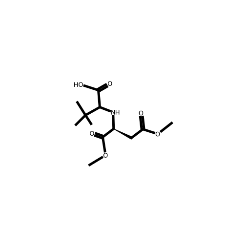 COC(=O)C[C@H](NC(C(=O)O)C(C)(C)C)C(=O)OC